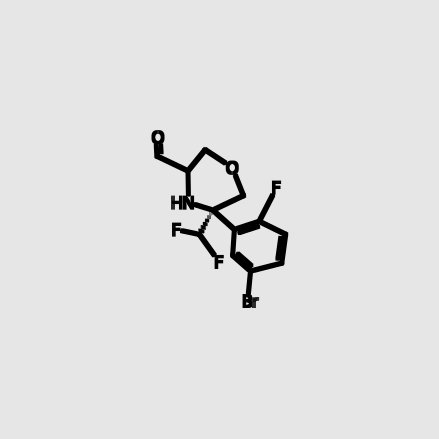 O=CC1COC[C@](c2cc(Br)ccc2F)(C(F)F)N1